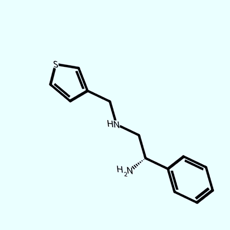 N[C@H](CNCc1ccsc1)c1ccccc1